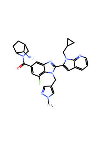 Cn1cc(Cn2c(-c3cc4cccnc4n3CC3CC3)nc3cc(C(=O)N4CC5CCC4C5N)cc(F)c32)cn1